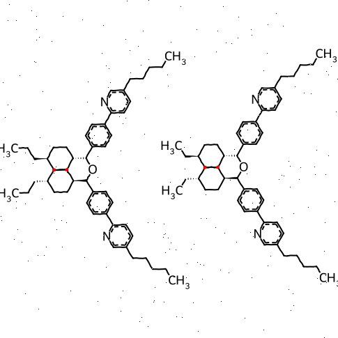 CCCCCc1ccc(-c2ccc(C(OC(c3ccc(-c4ccc(CCCCC)cn4)cc3)[C@H]3CC[C@H](CC)CC3)[C@H]3CC[C@H](CC)CC3)cc2)nc1.CCCCCc1ccc(-c2ccc(C(OC(c3ccc(-c4ccc(CCCCC)cn4)cc3)[C@H]3CC[C@H](CCC)CC3)[C@H]3CC[C@H](CCC)CC3)cc2)nc1